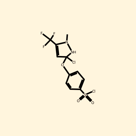 CN1NC(Cl)(Oc2ccc(S(=O)(=O)Cl)cc2)C=C1C(F)(F)F